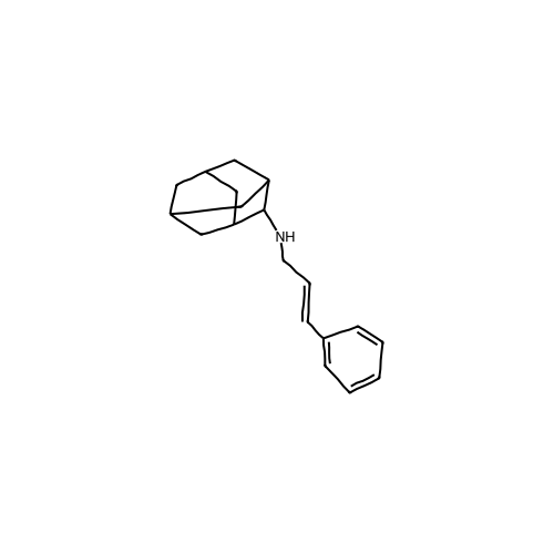 C(=C\c1ccccc1)/CNC1C2CC3CC(C2)CC1C3